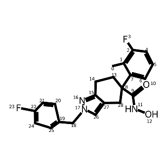 Cc1c(F)cccc1C1(C(=O)NO)CCc2nn(Cc3ccc(F)cc3)cc2C1